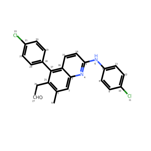 Cc1cc2nc(Nc3ccc(Cl)cc3)ccc2c(-c2ccc(Cl)cc2)c1CC=O